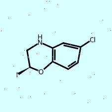 Clc1ccc2c(c1)NC[C@H](I)O2